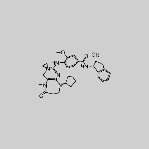 COc1cc(C(=O)N[C@H]2c3ccccc3C[C@H]2O)ccc1NC1=NC2=C(C[N+]13CC3)N(C)C(=O)CCN2C1CCCC1